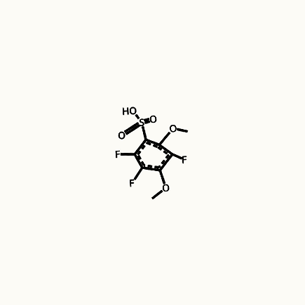 COc1c(F)c(F)c(S(=O)(=O)O)c(OC)c1F